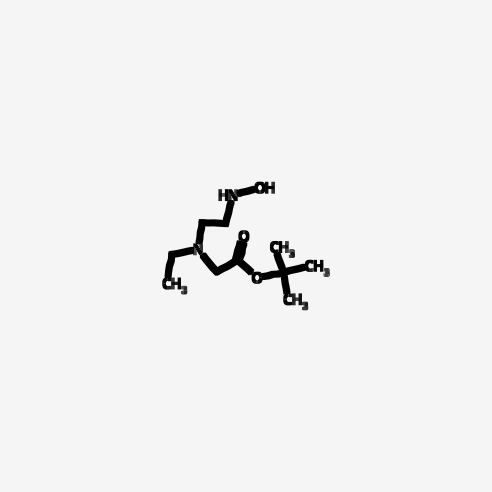 CCN(CCNO)CC(=O)OC(C)(C)C